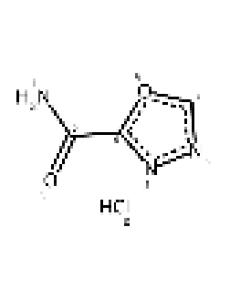 Cl.NC(=O)c1nnco1